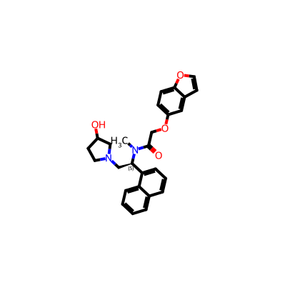 CN(C(=O)COc1ccc2occc2c1)[C@H](CN1CCC(O)C1)c1cccc2ccccc12